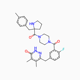 Cc1ccc(CC2(C(=O)N3CCN(C(=O)c4cc(Cc5n[nH]c(=O)c(C)c5C)ccc4F)CC3)CCCN2)cc1